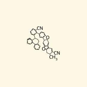 CC1Cc2oc3c(c2C=C1C#N)=CC1Oc2ccc(-c4c(C#N)cccc4C4CCc5ccccc5-c5ccc#cc54)cc2C1C=3